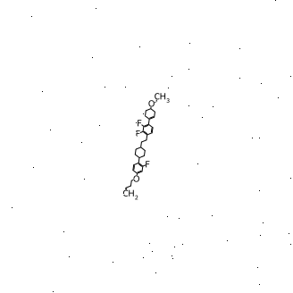 C=CCCOc1ccc(C2CCC(CCc3ccc(C4=CCC(OCC)CC4)c(F)c3F)CC2)c(F)c1